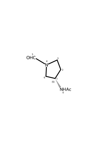 CC(=O)N[C@H]1CCN(C=O)C1